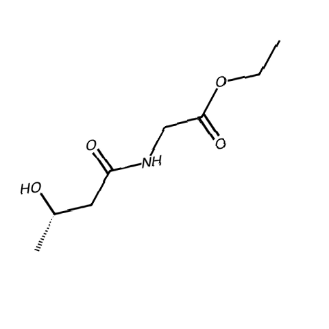 CCOC(=O)CNC(=O)C[C@H](C)O